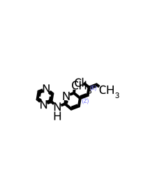 C/C=C(Cl)\C=C1\C=CC(Nc2cnccn2)=NC1C